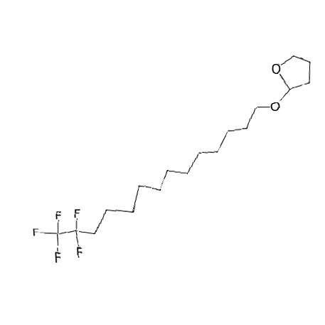 FC(F)(F)C(F)(F)CCCCCCCCCCCCOC1CCCO1